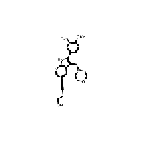 COc1ccc(-c2[nH]c3ncc(C#CCCO)cc3c2CN2CCOCC2)cc1C